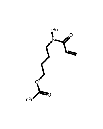 C=CC(=O)N(CCCC)CCCCOC(=O)CCC